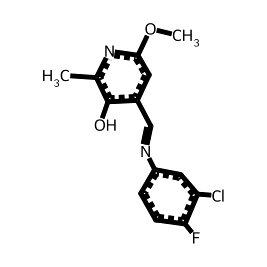 COc1cc(/C=N/c2ccc(F)c(Cl)c2)c(O)c(C)n1